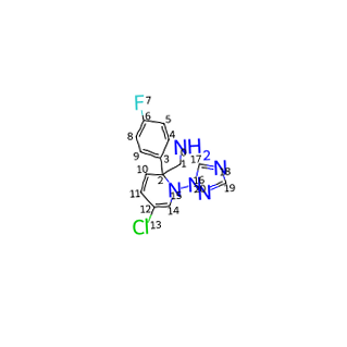 NCC1(c2ccc(F)cc2)C=CC(Cl)=CN1n1cncn1